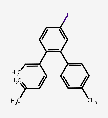 C=C(C)/C=C\C(=C/C)c1ccc(I)cc1-c1ccc(C)cc1